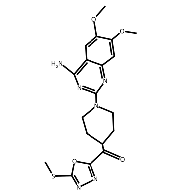 COc1cc2nc(N3CCC(C(=O)c4nnc(SC)o4)CC3)nc(N)c2cc1OC